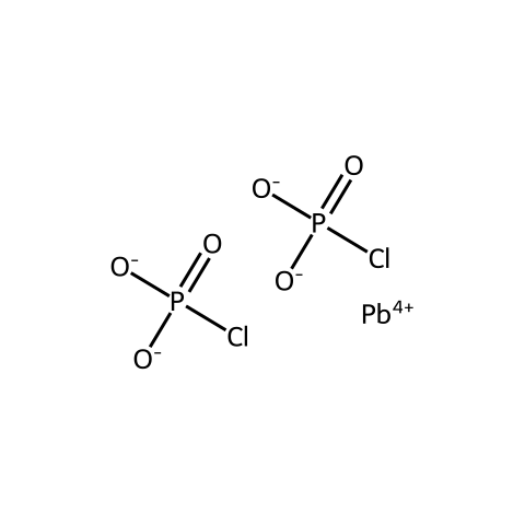 O=P([O-])([O-])Cl.O=P([O-])([O-])Cl.[Pb+4]